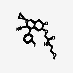 COCCNC(=O)COC1C=C2C(=CN(C3CC3)C(C#N)=C2c2cccc(F)c2)CC1=O